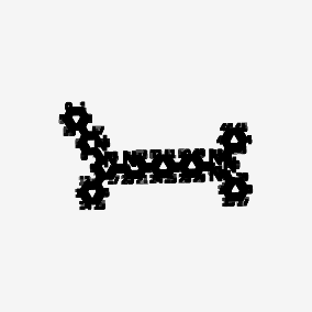 c1ccc(-c2ccc(-c3cc(-c4ccccc4)cc(-c4ccc(-c5ccc(-c6ccc(-c7nc(-c8ccccc8)nc(-c8ccccc8)n7)cc6)cc5)cn4)n3)nc2)cc1